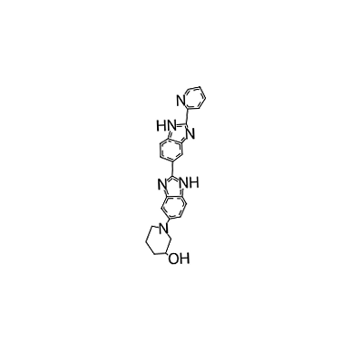 OC1CCCN(c2ccc3[nH]c(-c4ccc5[nH]c(-c6ccccn6)nc5c4)nc3c2)C1